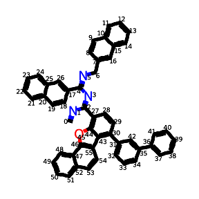 C=N/C(=N\C(=N/Cc1ccc2ccccc2c1)c1ccc2ccccc2c1)c1ccc(-c2cccc(-c3ccccc3)c2)c2c1oc1c3ccccc3ccc12